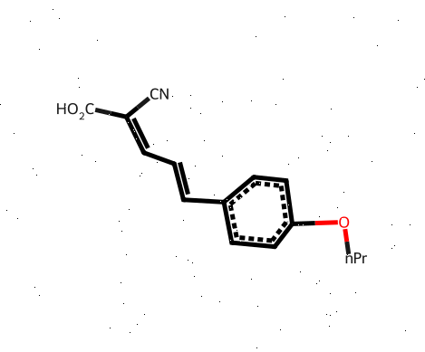 CCCOc1ccc(/C=C/C=C(\C#N)C(=O)O)cc1